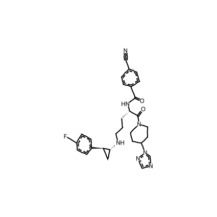 N#Cc1ccc(C(=O)N[C@@H](CCCN[C@@H]2C[C@H]2c2ccc(F)cc2)C(=O)N2CCC(n3cncn3)CC2)cc1